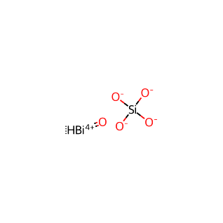 [O-][Si]([O-])([O-])[O-].[O]=[BiH+4]